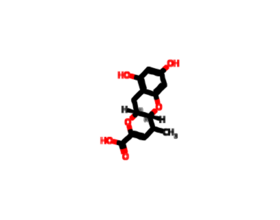 CC1C=C(C(=O)O)O[C@@H]2Cc3c(O)cc(O)cc3O[C@H]12